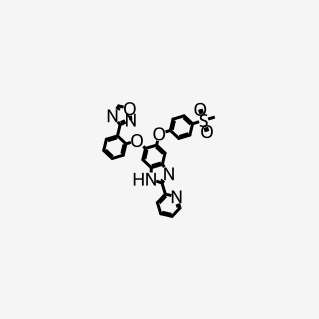 CS(=O)(=O)c1ccc(Oc2cc3nc(-c4ccccn4)[nH]c3cc2Oc2ccccc2-c2ncon2)cc1